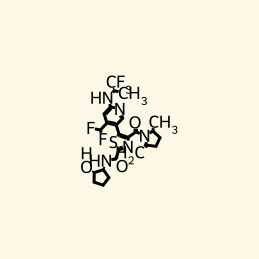 C=C1CCC(C)N1C(=O)c1nc(C(=O)N[C@H]2CCC[C@@H]2O)sc1-c1cnc(N[C@@H](C)C(F)(F)F)cc1C(F)F